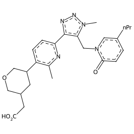 CCCc1ccc(=O)n(Cc2c(-c3ccc(C4COCC(CC(=O)O)C4)c(C)n3)nnn2C)c1